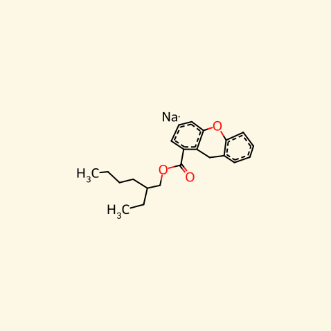 CCCCC(CC)COC(=O)c1cccc2c1Cc1ccccc1O2.[Na]